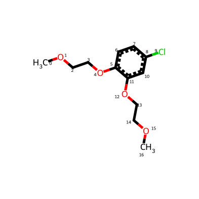 COCCOc1ccc(Cl)cc1OCCOC